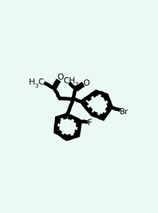 CC(=O)CC(C(C)=O)(c1ccc(Br)cc1)c1ccccc1F